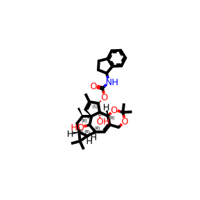 CC1=C[C@]23C(O)[C@@H](C=C4COC(C)(C)O[C@H]4[C@]2(O)[C@H]1OC(=O)NC1CCc2ccccc21)[C@H]1[C@@H](C[C@H]3C)C1(C)C